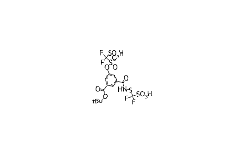 CC(C)(C)OC(=O)c1cc(OS(=O)(=O)C(F)(F)S(=O)(=O)O)cc(C(=O)NSC(F)(F)S(=O)(=O)O)c1